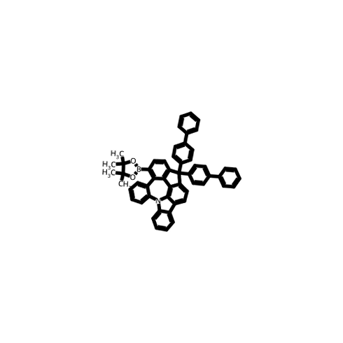 CC1(C)OB(c2ccc3c4c2-c2ccccc2-n2c5ccccc5c5ccc(c-4c52)C3(c2ccc(-c3ccccc3)cc2)c2ccc(-c3ccccc3)cc2)OC1(C)C